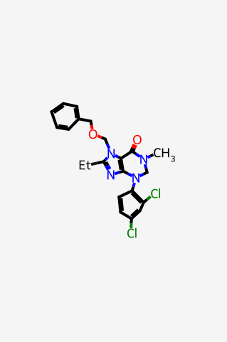 CCc1nc2c(n1COCc1ccccc1)C(=O)N(C)CN2c1ccc(Cl)cc1Cl